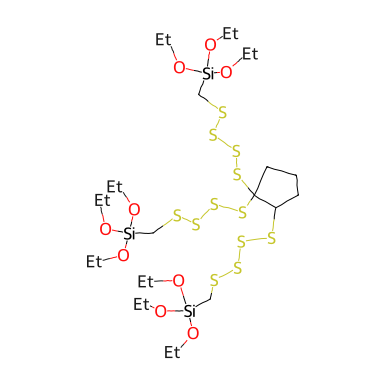 CCO[Si](CSSSSC1CCCC1(SSSSC[Si](OCC)(OCC)OCC)SSSSC[Si](OCC)(OCC)OCC)(OCC)OCC